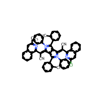 Cc1cc2ccccc2c(/C(C#N)=c2/c3c(-c4ccccc4C#N)n(-c4ccccc4)/c(=C(/C#N)c4nc(Cl)cc5ccccc45)c3c(-c3ccccc3C#N)n2-c2ccccc2)n1